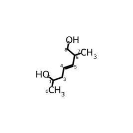 CC(O)CC=CC(C)CO